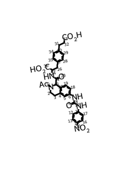 CC(=O)N1CCc2cc(NC(=O)Nc3ccc([N+](=O)[O-])cc3)ccc2C1C(=O)NC(Cc1ccc(CCC(=O)O)cc1)C(=O)O